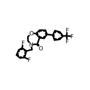 O=C1c2cc(-c3ccc(C(F)(F)F)cc3)ccc2OCCN1Cc1c(F)cccc1F